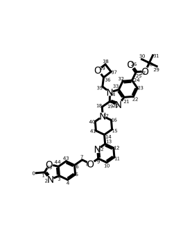 Cc1nc2ccc(COc3cccc(C4CCN(Cc5nc6ccc(C(=O)OC(C)(C)C)cc6n5CC5CCO5)CC4)n3)cc2o1